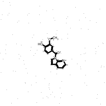 COc1cc(C(=O)n2ccc3cccnc32)ccc1O